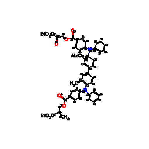 C=C(COC(=O)c1ccc(N(c2ccccc2)c2ccc(-c3ccc(N(c4ccccc4)c4ccc(C(=O)OCC(=O)C(=O)OCC)cc4)c(OC)c3)cc2C)cc1)C(=O)OCC